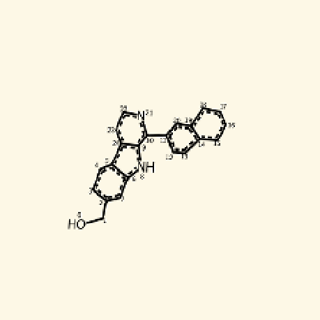 OCc1ccc2c(c1)[nH]c1c(-c3ccc4ccccc4c3)nccc12